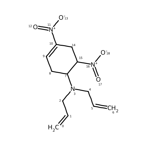 C=CCN(CC=C)C1CC=C([N+](=O)[O-])CC1[N+](=O)[O-]